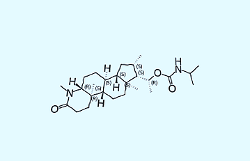 CC(C)NC(=O)O[C@H](C)[C@H]1[C@@H](C)C[C@H]2[C@@H]3CC[C@H]4N(C)C(=O)CC[C@]4(C)[C@H]3CC[C@]12C